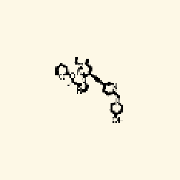 C=C/C=C(C#Cc1ccc(CN2CCC(O)CC2)nc1)\C(=N/OCC)n1ccnc1[C@H](C)OC1CCCCO1